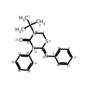 CC(C)(C)N1CSC(=Nc2ccccc2)N(c2ccccc2)C1=O